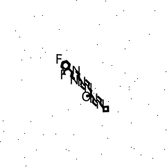 O=C(CN1CCN(c2cnc(-c3ccc(F)cc3F)cn2)CC1)N1CCN(C2CCC2)CC1